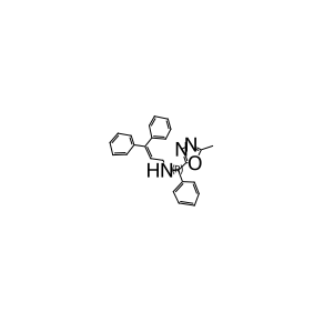 Cc1nnc([C@H](NCC=C(c2ccccc2)c2ccccc2)c2ccccc2)o1